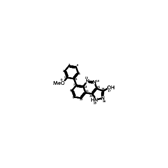 COc1ccccc1-c1cccc2c1nnc1c(O)n[nH]c12